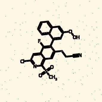 CS(=O)(=O)c1nc(Cl)cc2c(F)c(-c3cc(OO)cc4ccccc34)c(CCC#N)cc12